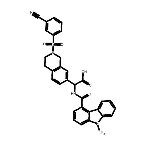 Cn1c2ccccc2c2c(C(=O)NC(C(=O)O)c3ccc4c(c3)CN(S(=O)(=O)c3cccc(C#N)c3)CC4)cccc21